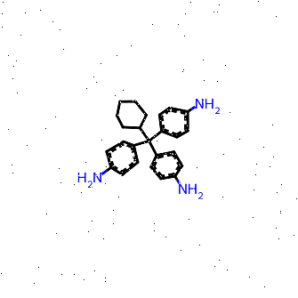 Nc1ccc(C(c2ccc(N)cc2)(c2ccc(N)cc2)C2CCCCC2)cc1